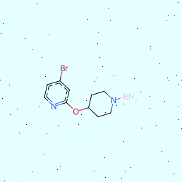 BN1CCC(Oc2cc(Br)ccn2)CC1